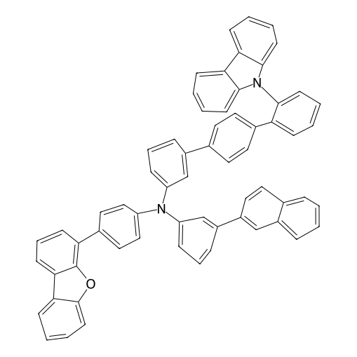 c1cc(-c2ccc(-c3ccccc3-n3c4ccccc4c4ccccc43)cc2)cc(N(c2ccc(-c3cccc4c3oc3ccccc34)cc2)c2cccc(-c3ccc4ccccc4c3)c2)c1